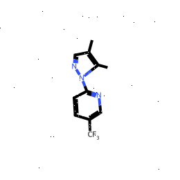 Cc1cnn(-c2ccc(C(F)(F)F)cn2)c1C